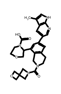 Cc1c[nH]c2ncc(-c3cc4c(c(C5COCCN5C(=O)O)c3)CN(C(=O)N3CC5(COC5)C3)CC4)cc12